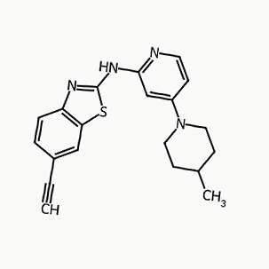 C#Cc1ccc2nc(Nc3cc(N4CCC(C)CC4)ccn3)sc2c1